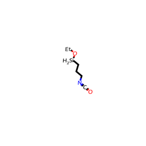 CCO[SiH2]CCCN=C=O